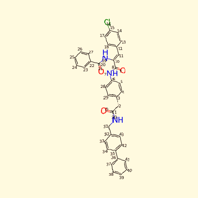 O=C(Cc1ccc(NC(=O)C(=Cc2ccc(Cl)cc2)NC(=O)c2ccccc2)cc1)NCc1ccc(-c2ccccc2)cc1